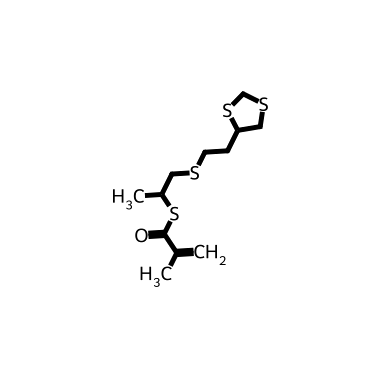 C=C(C)C(=O)SC(C)CSCCC1CSCS1